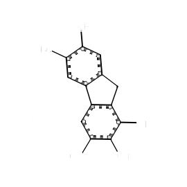 Cc1cc2c(cc1C(C)(C)C)-c1cc(C(C)(C)C)c(C)[c]([Hf+2])c1C2.[Cl-].[Cl-]